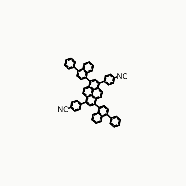 [C-]#[N+]c1ccc(-c2cc(-c3ccc(-c4ccccc4)c4ccccc34)c3ccc4c(-c5ccc(C#N)cc5)cc(-c5ccc(-c6ccccc6)c6ccccc56)c5ccc2c3c45)cc1